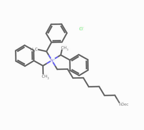 CCCCCCCCCCCCCCCCCC[N+](C(C)c1ccccc1)(C(C)c1ccccc1)C(C)c1ccccc1.[Cl-]